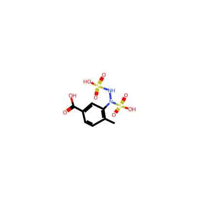 Cc1ccc(C(=O)O)cc1N(NS(=O)(=O)O)S(=O)(=O)O